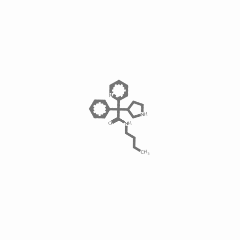 CCCCNC(=O)C(c1ccccc1)(c1ccccn1)C1CCNC1